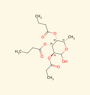 CCCC(=O)O[C@@H]1[C@H](OC(=O)CCC)[C@H](C)OC(O)[C@H]1OC(=O)CC